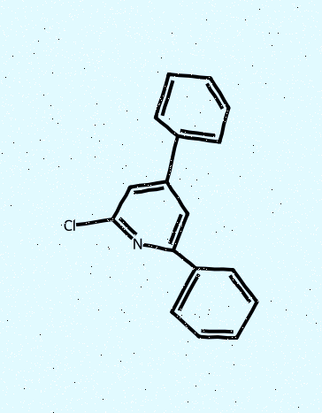 Clc1cc(-c2ccccc2)cc(-c2ccccc2)n1